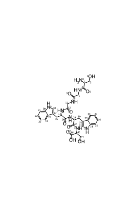 NC(CO)C(=O)NCC(=O)NCC(=O)NC(Cc1c[nH]c2ccccc12)C(=O)NC(Cc1c[nH]c2ccccc12)C(=O)NC(CO)C(=O)O